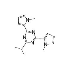 CC(C)c1nc(-c2cccn2C)nc(-c2cccn2C)n1